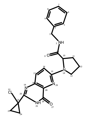 O=C(NCc1ccccc1)C1CCCN1c1ccc2nc(C3(Cl)CC3)[nH]c(=O)c2n1